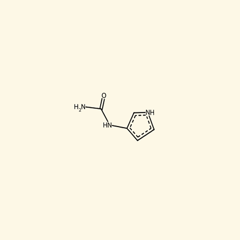 NC(=O)Nc1cc[nH]c1